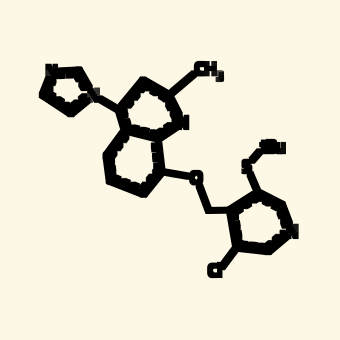 Cc1cc(-n2ccnc2)c2cccc(OCc3c(Cl)cncc3SC(C)(C)C)c2n1